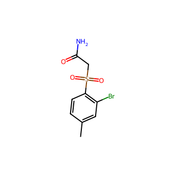 Cc1ccc(S(=O)(=O)CC(N)=O)c(Br)c1